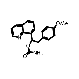 COc1ccc(CC(OC(N)=O)c2cccc3cccnc23)cc1